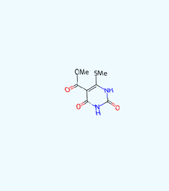 COC(=O)c1c(SC)[nH]c(=O)[nH]c1=O